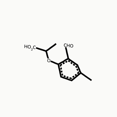 Cc1ccc(OC(C)C(=O)O)c(C=O)c1